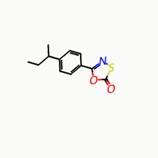 CCC(C)c1ccc(-c2nsc(=O)o2)cc1